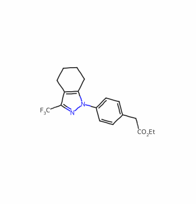 CCOC(=O)Cc1ccc(-n2nc(C(F)(F)F)c3c2CCCC3)cc1